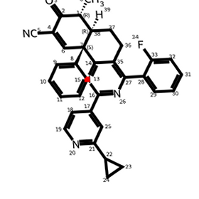 C[C@H]1C(=O)C(C#N)=C[C@@]2(c3ccccc3)c3nc(-c4ccnc(C5CC5)c4)nc(-c4ccccc4F)c3CC[C@H]12